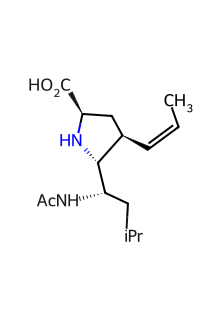 C/C=C\[C@@H]1C[C@H](C(=O)O)N[C@H]1[C@H](CC(C)C)NC(C)=O